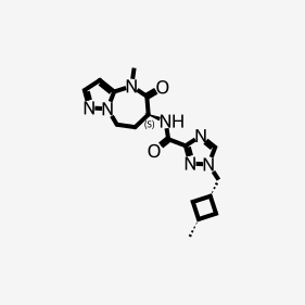 CN1C(=O)[C@@H](NC(=O)c2ncn(C[C@H]3C[C@@H](C)C3)n2)CCn2nccc21